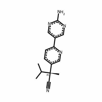 CC(C)[C@@](C)(C#N)c1ccc(-c2cnc(N)nc2)nc1